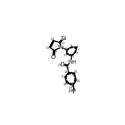 O=C(Nc1cccc(N2C(=O)C=CC2=O)c1)c1ccc([18F])cc1